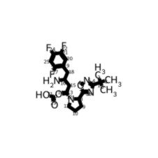 CC(C)(C)c1noc(C2CCCN2C(=O)CC(N)Cc2cc(F)c(F)cc2F)n1.O=CO